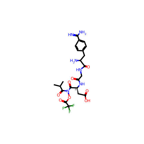 CC(C)C(=O)N(OC(=O)C(F)(F)F)C(=O)[C@H](CC(=O)O)NC(=O)CNC(=O)C(N)Cc1ccc(C(=N)N)cc1